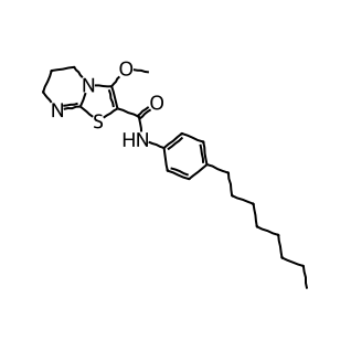 CCCCCCCCc1ccc(NC(=O)C2=C(OC)N3CCCN=C3S2)cc1